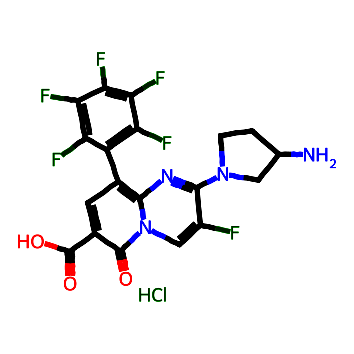 Cl.NC1CCN(c2nc3c(-c4c(F)c(F)c(F)c(F)c4F)cc(C(=O)O)c(=O)n3cc2F)C1